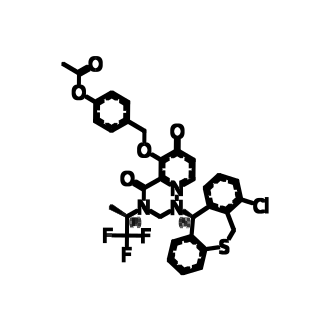 CC(=O)Oc1ccc(COc2c3n(ccc2=O)N([C@@H]2c4ccccc4SCc4c(Cl)cccc42)CN([C@H](C)C(F)(F)F)C3=O)cc1